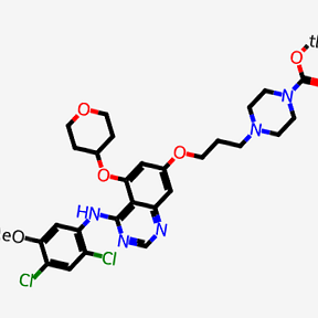 COc1cc(Nc2ncnc3cc(OCCCN4CCN(C(=O)OC(C)(C)C)CC4)cc(OC4CCOCC4)c23)c(Cl)cc1Cl